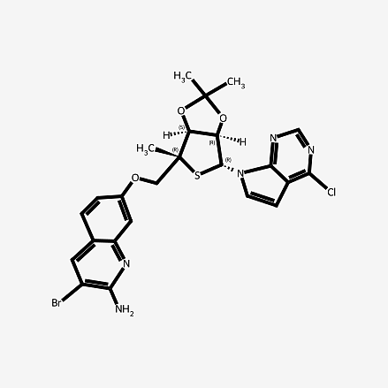 CC1(C)O[C@H]2[C@H](n3ccc4c(Cl)ncnc43)S[C@](C)(COc3ccc4cc(Br)c(N)nc4c3)[C@H]2O1